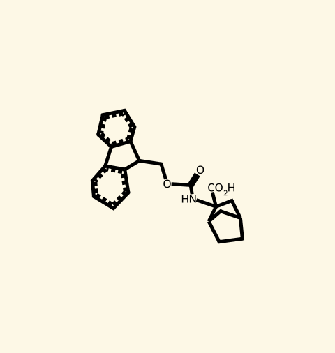 O=C(NC1(C(=O)O)CC2CCC1C2)OCC1c2ccccc2-c2ccccc21